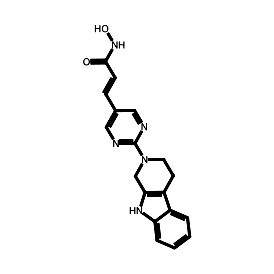 O=C(/C=C/c1cnc(N2CCc3c([nH]c4ccccc34)C2)nc1)NO